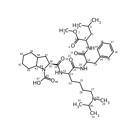 COC(=O)C(CC(C)C)NC(=O)C(Cc1ccccc1)NC(=O)C(CCCCN(C)C(C)C)NC(=O)[C@@H]1CC2CCCCC2N1C(=O)O